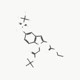 CCOC(=O)Oc1cc2cc(NS(=O)(=O)C(F)(F)F)ccc2n1CC(=O)OC(C)(C)C